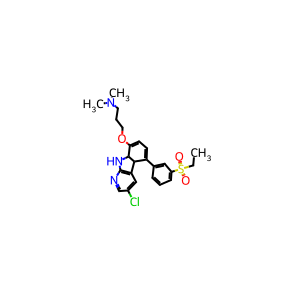 CCS(=O)(=O)c1cccc(C2=CC=C(OCCCN(C)C)C3Nc4ncc(Cl)cc4C23)c1